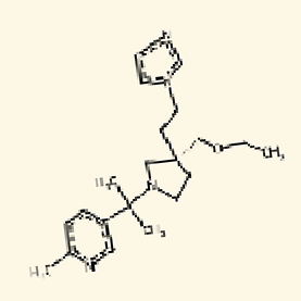 CCOC[C@]1(CCn2ccnc2)CCN(C(C)(C)c2ccc(C)nc2)C1